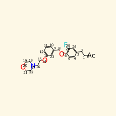 CC(=O)CCc1ccc(OCc2cccc(OCCN3CCOCC3)c2)c(F)c1